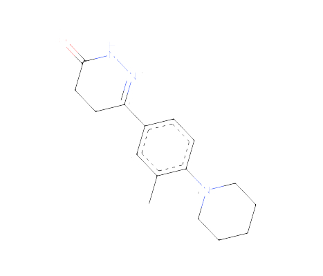 Cc1cc(C2=NNC(=O)CC2)ccc1N1CCCCC1